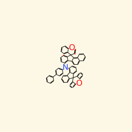 c1ccc(-c2ccc(N(c3cccc4c3-c3ccccc3C43c4ccccc4Oc4ccccc43)c3cccc4c3-c3ccc5ccccc5c3C43c4ccccc4Oc4ccccc43)cc2)cc1